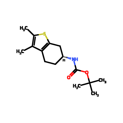 Cc1sc2c(c1C)CC[C@@H](NC(=O)OC(C)(C)C)C2